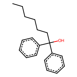 CCCCCCC(O)(c1ccccc1)c1ccccc1